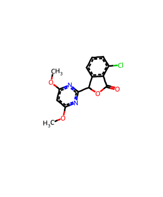 COc1cc(OC)nc(C2OC(=O)c3c(Cl)cccc32)n1